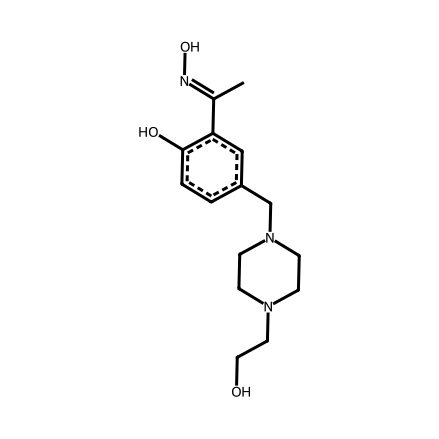 C/C(=N\O)c1cc(CN2CCN(CCO)CC2)ccc1O